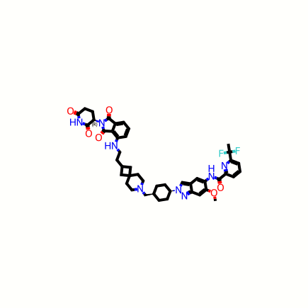 COc1cc2nn([C@H]3CC[C@H](CN4CCC5(CC4)CC(CCNc4cccc6c4C(=O)N([C@@H]4CCC(=O)NC4=O)C6=O)C5)CC3)cc2cc1NC(=O)c1cccc(C(C)(F)F)n1